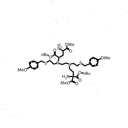 CCCCOC(=O)C(CC(N)C(=O)OC)N(CCSCc1ccc(OC)cc1)CCN(CCSCc1ccc(OC)cc1)CCC(N)(C(=O)OC)C(=O)OCCCC